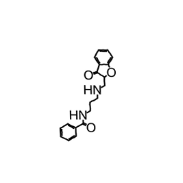 O=C(NCCCNCC1Oc2ccccc2C1=O)c1ccccc1